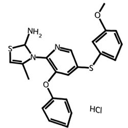 COc1cccc(Sc2cnc(N3C(C)=CSC3N)c(Oc3ccccc3)c2)c1.Cl